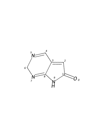 O=C1C=C2C=NCN=C2N1